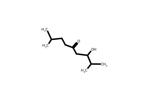 CC(C)CCC(=O)CC(O)C(C)C